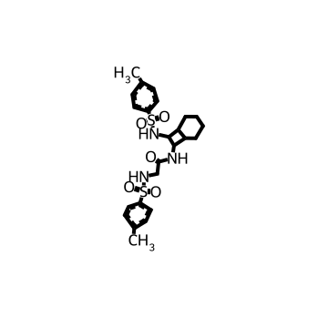 Cc1ccc(S(=O)(=O)NCC(=O)NC2C3CCCCC3C2NS(=O)(=O)c2ccc(C)cc2)cc1